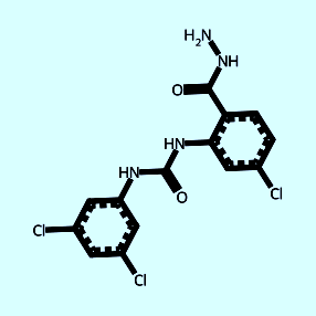 NNC(=O)c1ccc(Cl)cc1NC(=O)Nc1cc(Cl)cc(Cl)c1